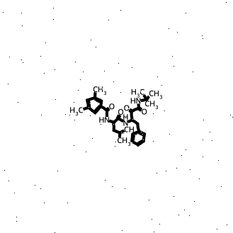 Cc1cc(C)cc(C(=O)NC(CC(C)C)C(=O)NC(Cc2ccccc2)C(=O)C(=O)NC(C)(C)C)c1